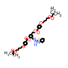 C=C(C)C(=O)OCCCCCOc1ccc(C(=O)OCCc2ccc(OC(=O)c3ccc(OCCCCCOC(=O)C(=C)C)cc3)c(/C=N/Nc3nc4ccccc4s3)c2)cc1